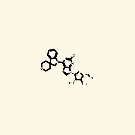 OC[C@H]1O[C@@H](n2cnc3c(N4CC5(CCOCC5)c5ccccc54)nc(Cl)nc32)[C@@H](O)C1O